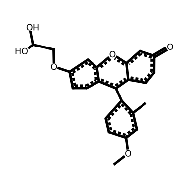 COc1ccc(-c2c3ccc(=O)cc-3oc3cc(OCC(O)O)ccc23)c(C)c1